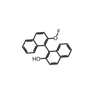 Oc1ccc2ccccc2c1-c1c(OF)ccc2ccccc12